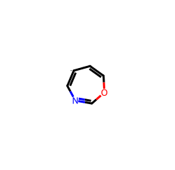 [C]1=CN=COC=C1